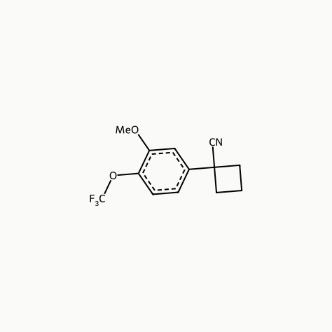 COc1cc(C2(C#N)CCC2)ccc1OC(F)(F)F